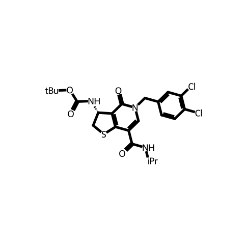 CC(C)NC(=O)c1cn(Cc2ccc(Cl)c(Cl)c2)c(=O)c2c1SC[C@@H]2NC(=O)OC(C)(C)C